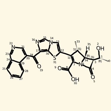 C[C@@H](O)[C@H]1C(=O)N2C(C(=O)O)=C(c3cn4cnc(C(=O)c5cncc6ccccc56)c4s3)[C@H](C)[C@H]12